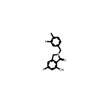 Cc1ccc(CN2Cc3cc(F)cc(C#N)c3C2=O)cc1F